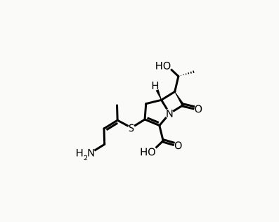 C/C(=C/CN)SC1=C(C(=O)O)N2C(=O)[C@H]([C@@H](C)O)[C@H]2C1